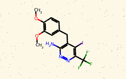 COc1ccc(Cc2c(N)nnc(C(F)(F)F)c2I)cc1OC